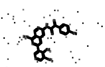 Cc1c(N)cncc1-c1cc2cc(NC(=O)C(=O)c3ccc(C#N)cc3)ncc2c(N)n1